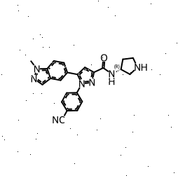 Cn1ncc2cc(-c3cc(C(=O)N[C@@H]4CCNC4)nn3-c3ccc(C#N)cc3)ccc21